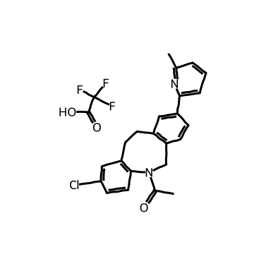 CC(=O)N1Cc2ccc(-c3cccc(C)n3)cc2CCc2cc(Cl)ccc21.O=C(O)C(F)(F)F